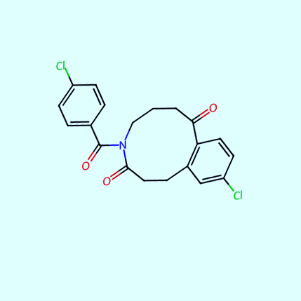 O=C1CCCN(C(=O)c2ccc(Cl)cc2)C(=O)CCc2cc(Cl)ccc21